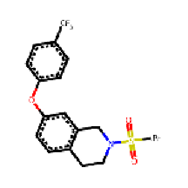 CC(C)S(=O)(=O)N1CCc2ccc(Oc3ccc(C(F)(F)F)cc3)cc2C1